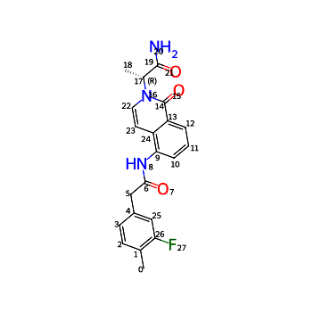 Cc1ccc(CC(=O)Nc2cccc3c(=O)n([C@H](C)C(N)=O)ccc23)cc1F